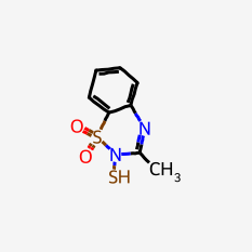 CC1=Nc2ccccc2S(=O)(=O)N1S